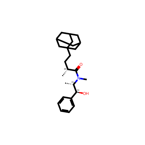 C[C@H](CCC12CC3CC(CC(C3)C1)C2)C(=O)N(C)[C@@H](C)[C@@H](O)c1ccccc1